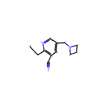 CCc1ncc(CN2CCC2)cc1C#N